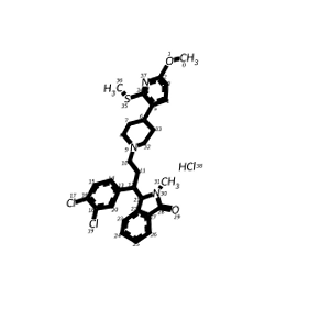 COc1ccc(C2CCN(CCC(c3ccc(Cl)c(Cl)c3)C3c4ccccc4C(=O)N3C)CC2)c(SC)n1.Cl